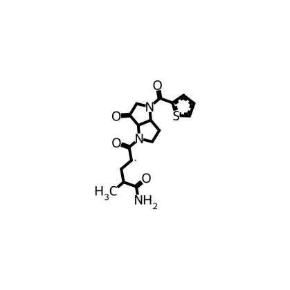 CC(C[CH]C(=O)N1CCC2C1C(=O)CN2C(=O)c1cccs1)C(N)=O